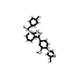 COc1cc(-c2nnc3n([C@@H](C)c4ccc(C)cc4)cccc2-3)ccc1-n1cnc(C)c1